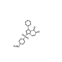 CC(=O)Nc1ccc(S(=O)(=O)n2cc(-c3ccccc3)c3c2C=CC(=O)C3=O)cc1